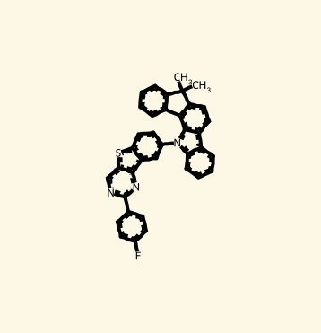 CC1(C)c2ccccc2-c2c1ccc1c3ccccc3n(-c3ccc4sc5cnc(-c6ccc(F)cc6)nc5c4c3)c21